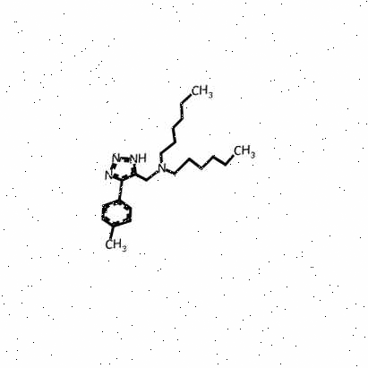 CCCCCCN(CCCCCC)Cc1[nH]nnc1-c1ccc(C)cc1